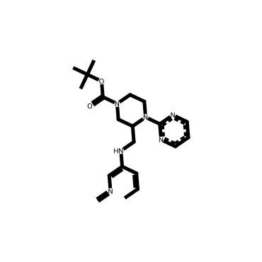 C=N/C=C(\C=C/C)NCC1CN(C(=O)OC(C)(C)C)CCN1c1ncccn1